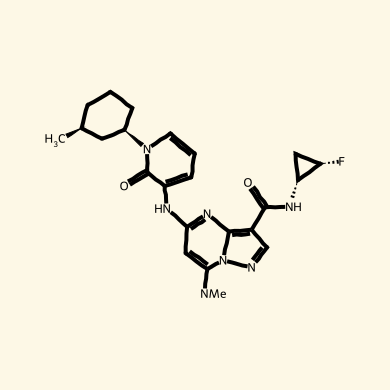 CNc1cc(Nc2cccn([C@@H]3CCC[C@H](C)C3)c2=O)nc2c(C(=O)N[C@@H]3C[C@@H]3F)cnn12